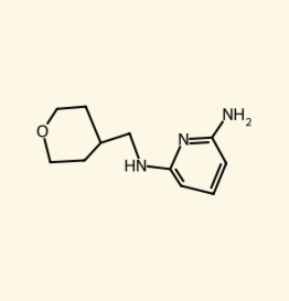 Nc1cccc(NCC2CCOCC2)n1